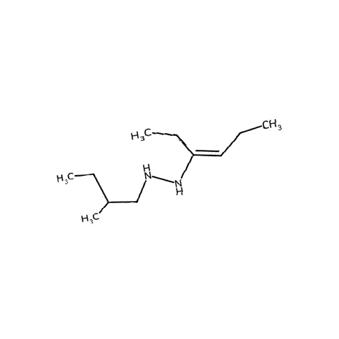 CC/C=C(\CC)NNCC(C)CC